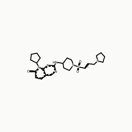 O=c1ccc2cnc(NC3CCN(S(=O)(=O)/C=C/CN4CCCC4)CC3)nc2n1C1CCCC1